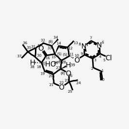 C=CCc1c(Cl)ncnc1O[C@H]1C(C)=C[C@]23C(=O)[C@@H](C=C4COC(C)(C)O[C@H]4[C@]12O)C1C(C[C@H]3C)C1(C)C